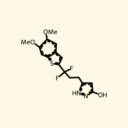 COc1cc2cc(C(F)(F)CCc3cc(O)n[nH]3)sc2cc1OC